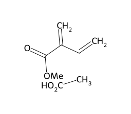 C=CC(=C)C(=O)OC.CC(=O)O